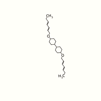 CC/C=C/C=C/COC1CCC(C2CCC(OC/C=C/C=C/CC)CC2)CC1